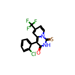 O=c1[nH]c(=S)n2ccc(C(F)(F)F)cc2c1-c1ccccc1Cl